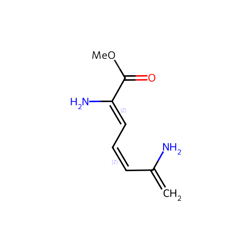 C=C(N)/C=C\C=C(/N)C(=O)OC